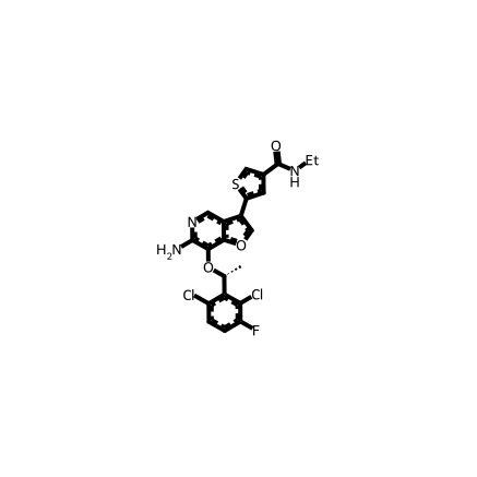 CCNC(=O)c1csc(-c2coc3c(O[C@H](C)c4c(Cl)ccc(F)c4Cl)c(N)ncc23)c1